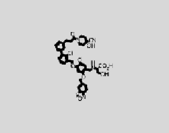 N#CC1(O)CCN(C(=O)CCc2cccc(-c3cccc(COc4cc(OCc5ccc6nonc6c5)c(CN[C@H](CO)C(=O)O)cc4Cl)c3Cl)c2)CC1